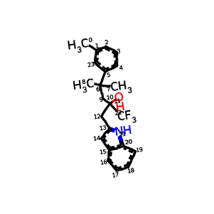 Cc1cccc(C(C)(C)CC(O)(Cc2cc3ccccc3[nH]2)C(F)(F)F)c1